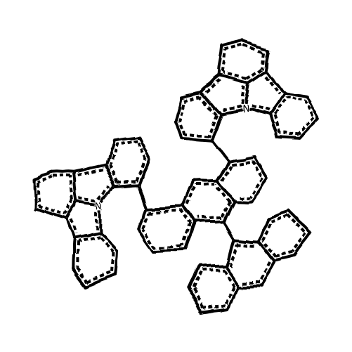 c1ccc2c(-c3c4cccc(-c5cccc6c7cccc8c9ccccc9n(c56)c87)c4cc4c(-c5cccc6c7cccc8c9ccccc9n(c56)c87)cccc34)c3ccccc3cc2c1